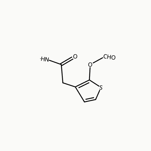 [NH]C(=O)Cc1ccsc1OC=O